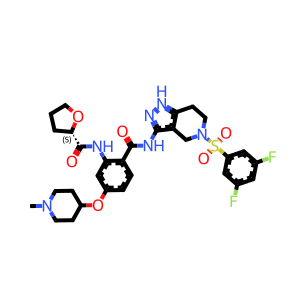 CN1CCC(Oc2ccc(C(=O)Nc3n[nH]c4c3CN(S(=O)(=O)c3cc(F)cc(F)c3)CC4)c(NC(=O)[C@@H]3CCCO3)c2)CC1